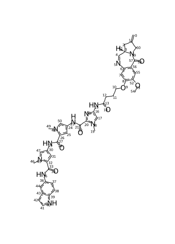 C=C1C[C@H]2C=Nc3cc(OCCCC(=O)Nc4cn(C)c(C(=O)Nc5cc(C(=O)Nc6cc(C(=O)Nc7ccc8[nH]ccc8c7)n(C)c6)n(C)c5)n4)c(OC)cc3C(=O)N2C1